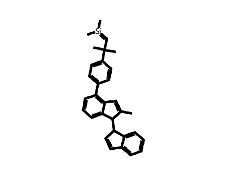 CC1=Cc2c(-c3ccc(C(C)(C)C=[Si](C)C)cc3)cccc2C1C1C=Cc2ccccc21